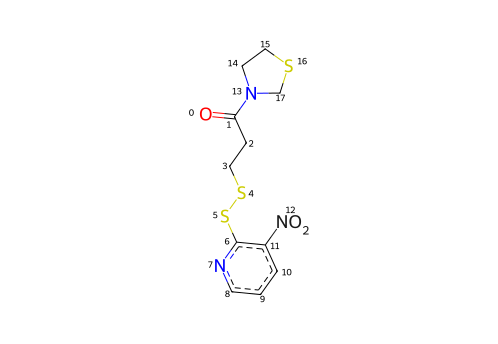 O=C(CCSSc1ncccc1[N+](=O)[O-])N1CCSC1